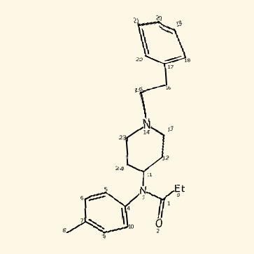 CCC(=O)N(c1ccc(C)cc1)C1CCN(CCc2ccccc2)CC1